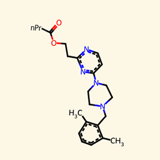 CCCC(=O)OCCc1nccc(N2CCN(Cc3c(C)cccc3C)CC2)n1